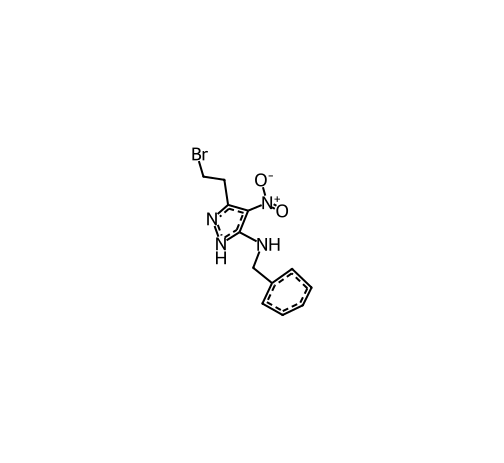 O=[N+]([O-])c1c(CCBr)n[nH]c1NCc1ccccc1